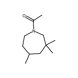 CC(=O)N1CCC(C)CC(C)(C)C1